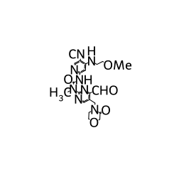 COCCNc1cc(NC(=O)N(C)c2ncc(CN3CCOCC3=O)c(C=O)n2)ncc1C#N